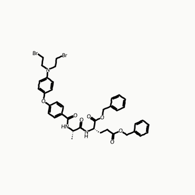 C[C@H](NC(=O)c1ccc(Oc2ccc(N(CCBr)CCBr)cc2)cc1)C(=O)N[C@@H](CCC(=O)OCc1ccccc1)C(=O)OCc1ccccc1